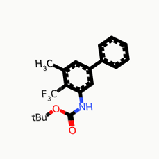 Cc1cc(-c2ccccc2)cc(NC(=O)OC(C)(C)C)c1C(F)(F)F